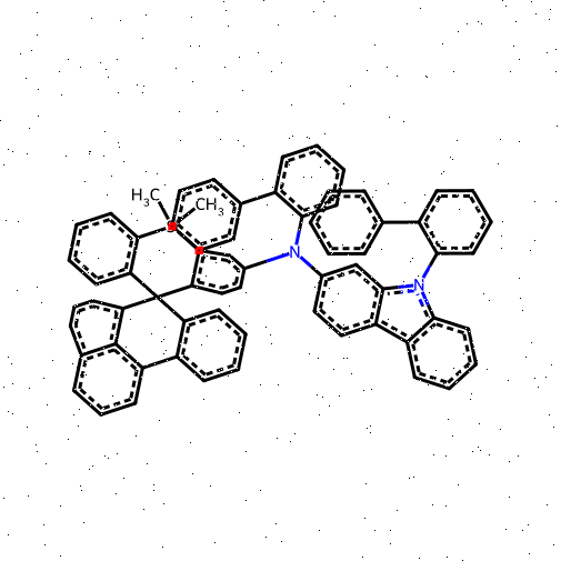 C[Si]1(C)c2ccccc2C2(c3ccccc3-c3cccc4cccc2c34)c2ccc(N(c3ccc4c5ccccc5n(-c5ccccc5-c5ccccc5)c4c3)c3ccccc3-c3ccccc3)cc21